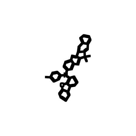 Cc1ccc(N(c2ccc3cc4c(cc3c2)C(C)(C)c2cc3ccccc3cc2-4)c2cccc3c2oc2ccccc23)cc1